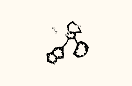 [Cl-].[H+].c1cc(-c2c(-c3ccc4sccc4c3)nn3c2CNCC3)ccn1